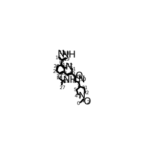 CC(=O)N1CCC(c2cc(-c3cnc4c(-c5cn[nH]c5)cccc4c3NC(C)C)on2)CC1